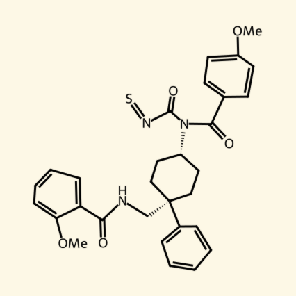 COc1ccc(C(=O)N(C(=O)N=S)[C@H]2CC[C@](CNC(=O)c3ccccc3OC)(c3ccccc3)CC2)cc1